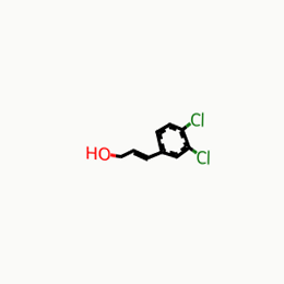 OCC=Cc1ccc(Cl)c(Cl)c1